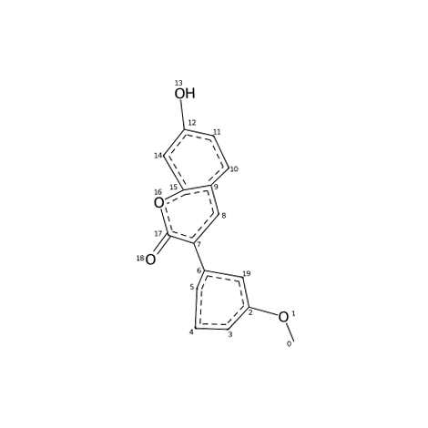 COc1cccc(-c2cc3ccc(O)cc3oc2=O)c1